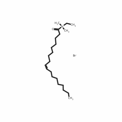 CCCCCCCC/C=C\CCCCCCCC(=O)[N+](C)(C)CC.[Br-]